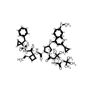 C=C[C@@H]1CC[C@]1(NC(=O)[C@@H]1C[C@@H](Oc2cc(C3CC3)nc3cc(OC)ccc23)CN1C(=O)[C@@H](NC(=O)OC(C)(C)C)C(C)(C)C)C(=O)NS(=O)(=O)C1(Cc2ccccc2)CC1